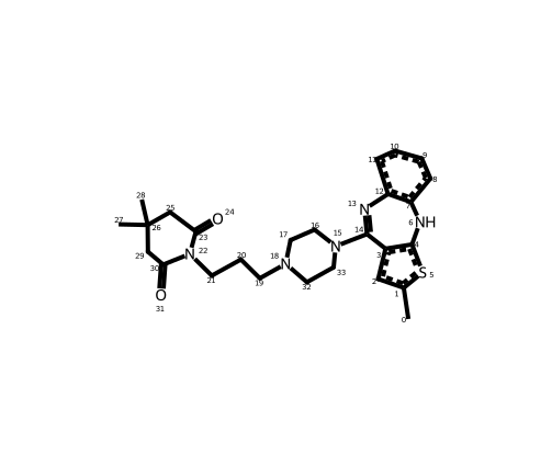 Cc1cc2c(s1)Nc1ccccc1N=C2N1CCN(CCCN2C(=O)CC(C)(C)CC2=O)CC1